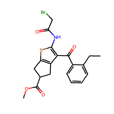 CCc1ccccc1C(=O)c1c(NC(=O)CBr)sc2c1CC(C(=O)OC)C2